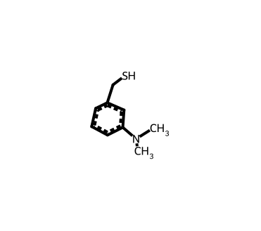 CN(C)c1cccc(CS)c1